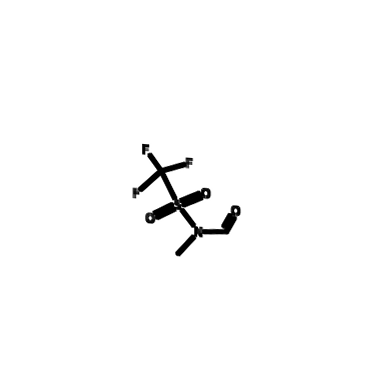 CN(C=O)S(=O)(=O)C(F)(F)F